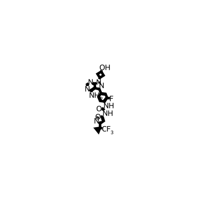 Nc1ncnc2c1c(-c1ccc(NC(=O)Nc3cc(C4(C(F)(F)F)CC4)no3)c(F)c1)nn2C1CC(O)C1